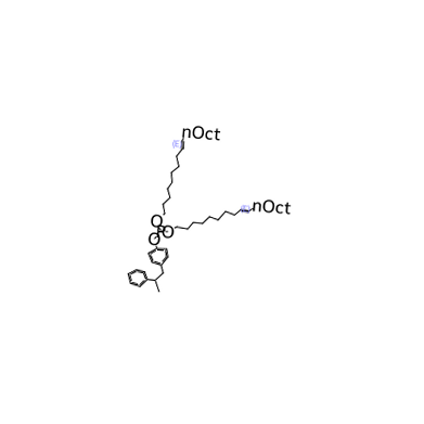 CCCCCCCC/C=C/CCCCCCCCOP(OCCCCCCCC/C=C/CCCCCCCC)Oc1ccc(CC(C)c2ccccc2)cc1